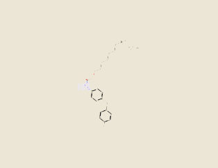 CCC(C)(CCCCCCCOC(=O)Nc1ccc(Cc2ccc(C)cc2)cc1)OC